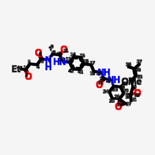 CCC(=O)CCC(=O)N[C@H](C)C(=O)Nc1ccc(CCNC(=O)N[C@@H]2CC[C@]3(CO3)[C@@H](C3(C)O[C@@H]3CC=C(C)C)[C@@H]2OC)cc1